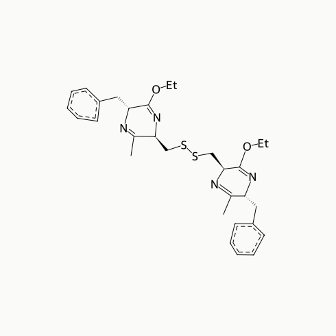 CCOC1=N[C@H](Cc2ccccc2)C(C)=N[C@H]1CSSC[C@@H]1N=C(OCC)[C@@H](Cc2ccccc2)N=C1C